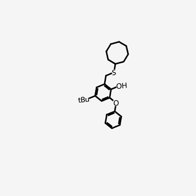 CC(C)(C)c1cc(CSC2CCCCCCC2)c(O)c(Oc2ccccc2)c1